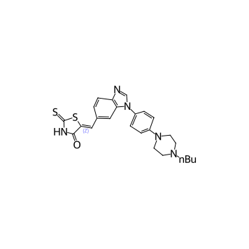 CCCCN1CCN(c2ccc(-n3cnc4ccc(/C=C5\SC(=S)NC5=O)cc43)cc2)CC1